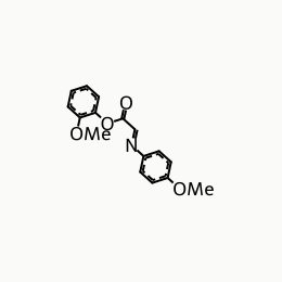 COc1ccc(N=CC(=O)Oc2ccccc2OC)cc1